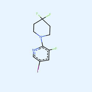 Fc1cc(I)cnc1N1CCC(F)(F)CC1